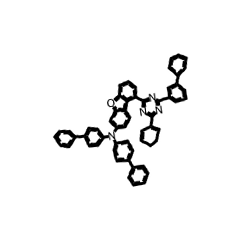 C1=CC(c2nc(-c3cccc(-c4ccccc4)c3)nc(-c3cccc4oc5cc(N(c6ccc(-c7ccccc7)cc6)c6ccc(-c7ccccc7)cc6)ccc5c34)n2)=CCC1